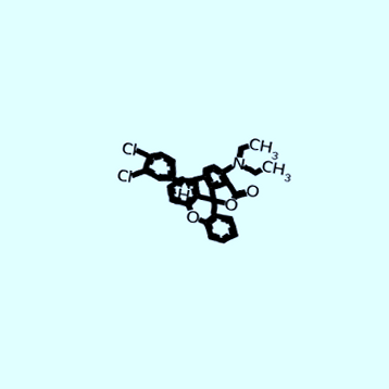 CCN(CC)c1ccc(Nc2ccc(Cl)c(Cl)c2)c2c1C(=O)OC21c2ccccc2Oc2ccccc21